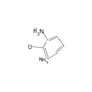 N.Nc1ccccc1Cl